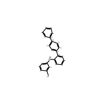 Fc1cccc(Nc2ccccc2-c2ccc(-c3ccccc3)cc2)c1